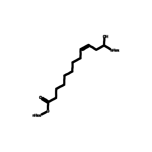 CCCCCCOC(=O)CCCCCCC/C=C\CC(O)CCCCCC